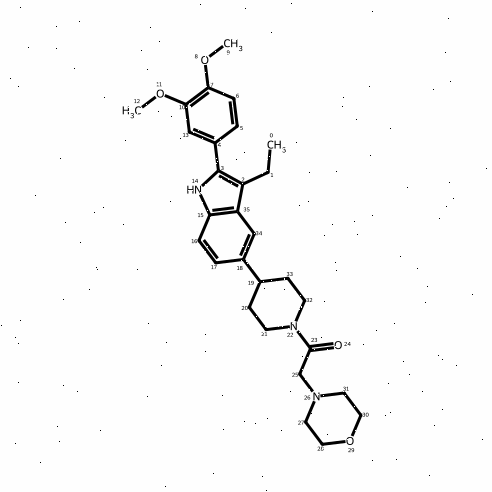 CCc1c(-c2ccc(OC)c(OC)c2)[nH]c2ccc(C3CCN(C(=O)CN4CCOCC4)CC3)cc12